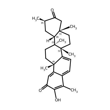 CC1=C(O)C(=O)C=C2C1=CC=C1[C@@]2(C)CC[C@@]2(C)[C@@H]3C[C@@H](C)C(=O)C[C@]3(C)CC[C@]12C